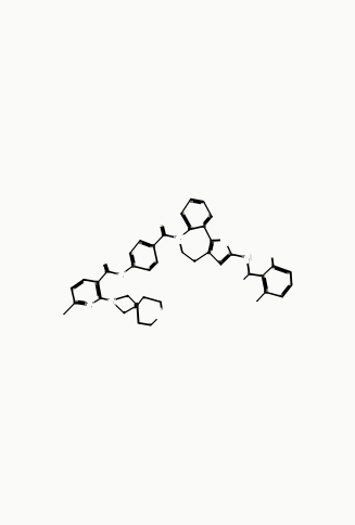 Cc1ccc(C(=O)Nc2ccc(C(=O)N3CCc4cc(NC(O)c5c(C)cccc5F)sc4-c4ccccc43)cc2)c(N2CC3(CCOCC3)C2)n1